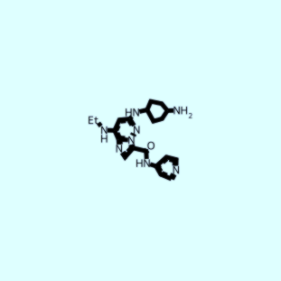 CCNc1cc(NC2CCC(N)CC2)nn2c(C(=O)Nc3ccncc3)cnc12